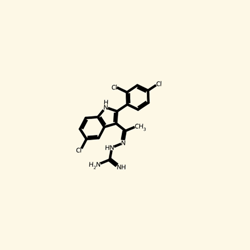 C/C(=N/NC(=N)N)c1c(-c2ccc(Cl)cc2Cl)[nH]c2ccc(Cl)cc12